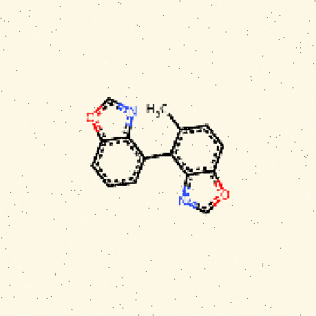 Cc1ccc2o[c]nc2c1-c1cccc2ocnc12